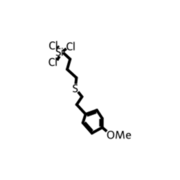 COc1ccc(CCSCCC[Si](Cl)(Cl)Cl)cc1